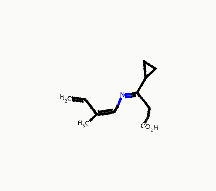 C=C/C(C)=C\N=C(/CC(=O)O)C1CC1